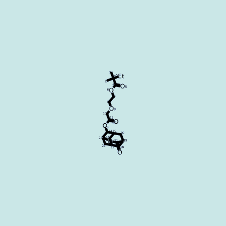 CCC(C)(C)C(=O)OCCOCC(=O)OC1C2CC3CC(C2)C(=O)OC1C3